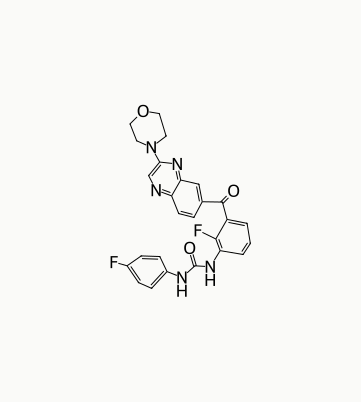 O=C(Nc1ccc(F)cc1)Nc1cccc(C(=O)c2ccc3ncc(N4CCOCC4)nc3c2)c1F